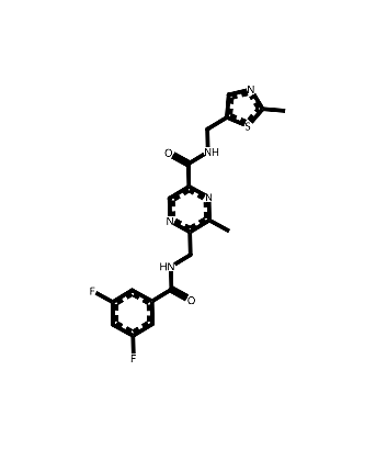 Cc1ncc(CNC(=O)c2cnc(CNC(=O)c3cc(F)cc(F)c3)c(C)n2)s1